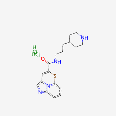 Cl.Cl.O=C(NCCCC1CCNCC1)C1=Cc2cnc3cccc(n23)S1